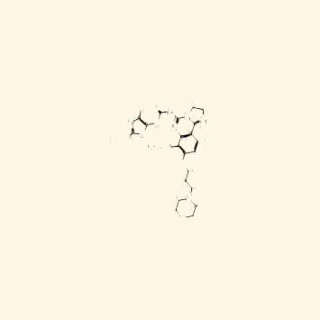 COc1c(OCCCN2CCOCC2)ccc2c1N=C(NC(=O)Oc1sc(C)nc1C)N1CCN=C21